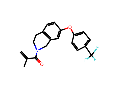 C=C(C)C(=O)N1CCc2ccc(Oc3ccc(C(F)(F)F)cc3)cc2C1